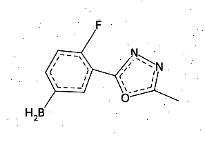 Bc1ccc(F)c(-c2nnc(C)o2)c1